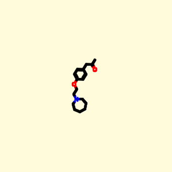 CC(=O)Cc1ccc(OCCN2CCCCCC2)cc1